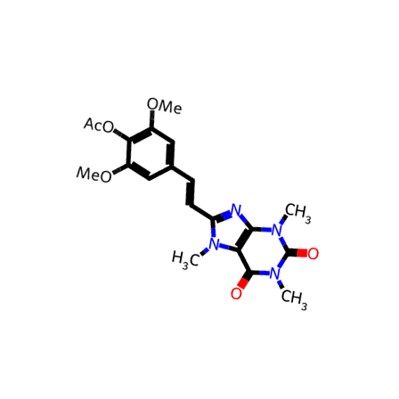 COc1cc(C=Cc2nc3c(c(=O)n(C)c(=O)n3C)n2C)cc(OC)c1OC(C)=O